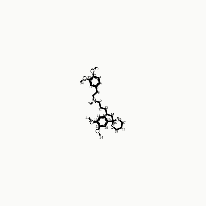 COc1ccc(CCN(C)CCCCCC2(c3ccc(OC)c(OC)c3)SCCCS2)cc1OC